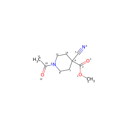 COC(=O)C1(C#N)CCN(C(C)=O)CC1